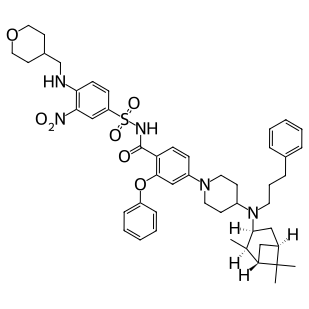 C[C@H]1[C@@H](N(CCCc2ccccc2)C2CCN(c3ccc(C(=O)NS(=O)(=O)c4ccc(NCC5CCOCC5)c([N+](=O)[O-])c4)c(Oc4ccccc4)c3)CC2)C[C@@H]2C[C@@H]1C2(C)C